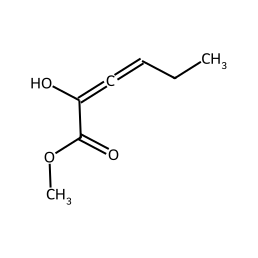 CCC=C=C(O)C(=O)OC